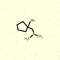 CN(C)CC1(C(C)(C)C)CCCC1